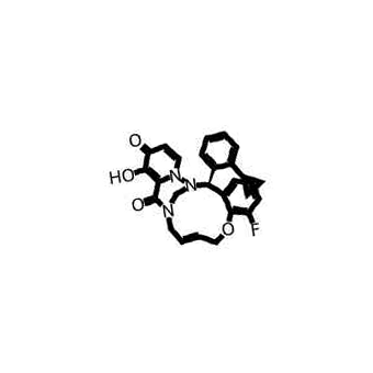 O=C1c2c(O)c(=O)ccn2N2CN1C/C=C/COc1c(F)cccc1[C@@H]2c1ccccc1C1CC1